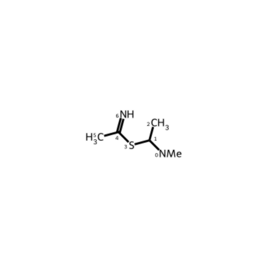 CNC(C)SC(C)=N